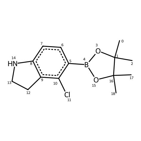 CC1(C)OB(c2ccc3c(c2Cl)CCN3)OC1(C)C